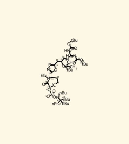 CCCCN(OS(=O)(=O)ON1CCC[C@@H](c2nnc(CC(CN/C(=N\C(=O)OC(C)(C)C)NC(=O)OC(C)(C)C)O[Si](C)(C)C(C)(C)C)o2)N(CC)C1=O)C(CCC)(CCCC)CCCC